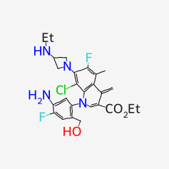 C=C1C(C(=O)OCC)=CN(c2cc(N)c(F)cc2CO)c2c(Cl)c(N3CC(NCC)C3)c(F)c(C)c21